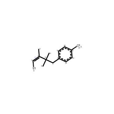 CC/C=C(/C)C(C)(C)Cc1ccc(C(F)(F)F)cc1